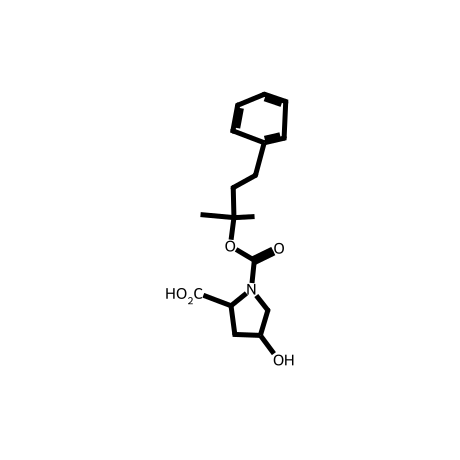 CC(C)(CCc1ccccc1)OC(=O)N1CC(O)CC1C(=O)O